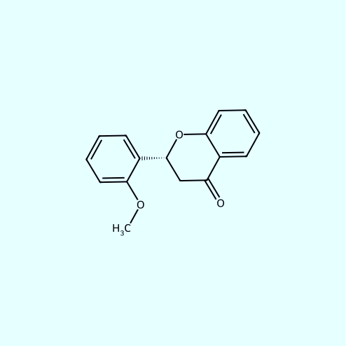 COc1ccccc1[C@H]1CC(=O)c2ccccc2O1